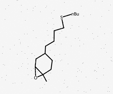 CCCCSCCCCC1CCC2(C)OC2C1